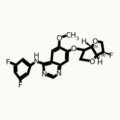 COc1cc2c(Nc3cc(F)cc(F)c3)ncnc2cc1OC1CO[C@H]2[C@H](F)CO[C@@H]12